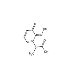 CC(C(=O)O)C1=CC=CC(=O)C1=NO